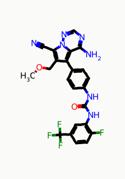 COCc1c(-c2ccc(NC(=O)Nc3cc(C(F)(F)F)ccc3F)cc2)c2c(N)ncnn2c1C#N